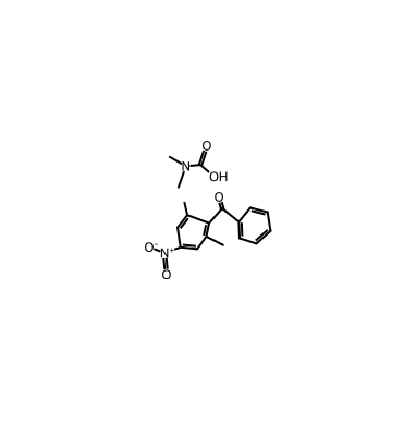 CN(C)C(=O)O.Cc1cc([N+](=O)[O-])cc(C)c1C(=O)c1ccccc1